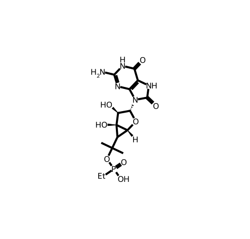 CCP(=O)(O)OC(C)(C)C1[C@H]2O[C@@H](n3c(=O)[nH]c4c(=O)[nH]c(N)nc43)[C@H](O)[C@@]12O